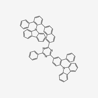 c1ccc(-c2nc(-c3ccc(-n4c5ccccc5c5ccccc54)c(-c4ccccc4)c3)nc(-c3ccc4ccc(-c5cccc(-c6ccccc6)c5-n5c6ccccc6c6ccccc65)cc4c3)n2)cc1